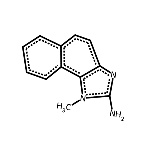 Cn1c(N)nc2ccc3ccccc3c21